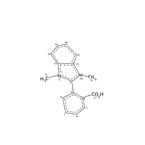 Cn1c(-c2ccccc2C(=O)O)[n+](C)c2ccccc21